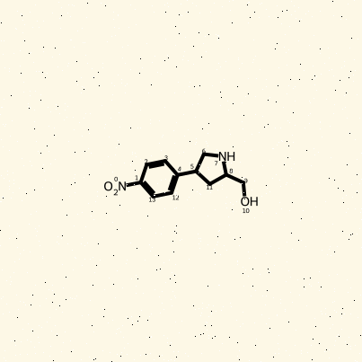 O=[N+]([O-])c1ccc(C2CNC(CO)C2)cc1